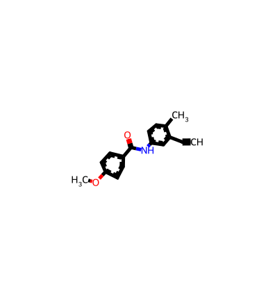 C#Cc1cc(NC(=O)c2ccc(OC)cc2)ccc1C